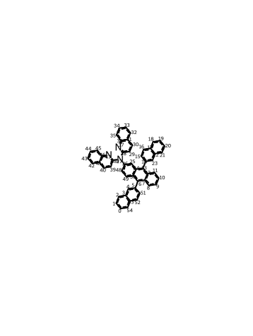 c1ccc2cc(-c3c4ccccc4c(-c4ccc5ccccc5c4)c4cc(N(c5ccc6ccccc6n5)c5ccc6ccccc6n5)ccc34)ccc2c1